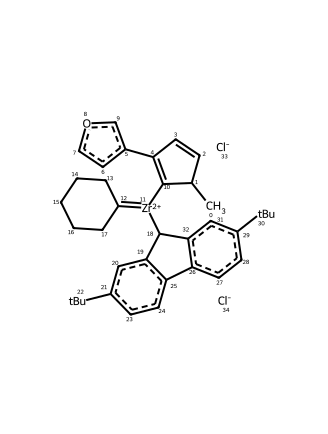 CC1C=CC(c2ccoc2)=[C]1[Zr+2](=[C]1CCCCC1)[CH]1c2cc(C(C)(C)C)ccc2-c2ccc(C(C)(C)C)cc21.[Cl-].[Cl-]